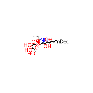 CCCCCCCCCCCCCCC(O)C(O)C(COC1OC(CO)C(O)C(O)C1O)NC(=O)CCC